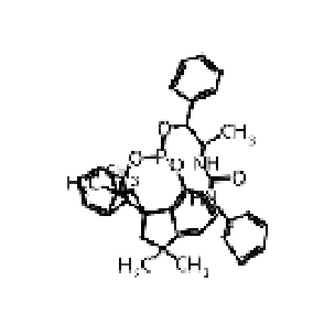 C[C@@H](NC(=O)Nc1ccccc1)[C@@H](OP1Oc2cccc3c2C2(CC3(C)C)CC(C)(C)c3cccc(c32)O1)c1ccccc1